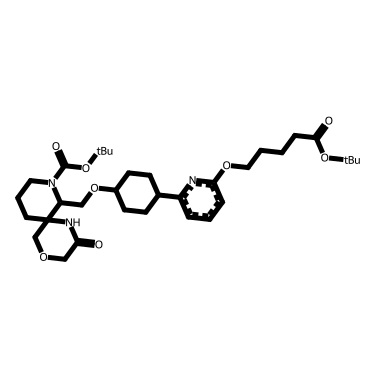 CC(C)(C)OC(=O)CCCCOc1cccc(C2CCC(OCC3N(C(=O)OC(C)(C)C)CCCC34COCC(=O)N4)CC2)n1